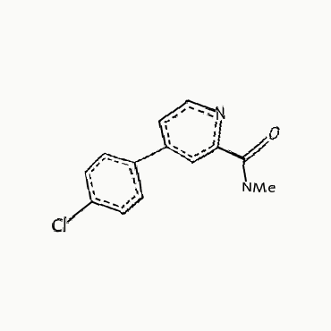 CNC(=O)c1cc(-c2ccc(Cl)cc2)ccn1